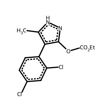 CCOC(=O)Oc1n[nH]c(C)c1-c1ccc(Cl)cc1Cl